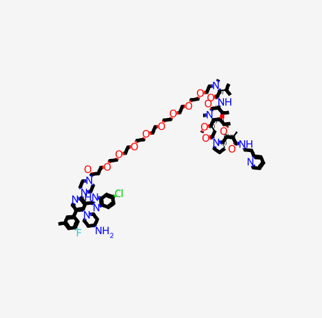 CC[C@H](C)[C@@H]([C@@H](CC(=O)N1CCC[C@H]1[C@H](OC)[C@@H](C)C(=O)NCCc1ccccn1)OC)N(C)C(=O)[C@@H](NC(=O)[C@H](C(C)C)N(C)CCOCCOCCOCCOCCOCCOCCOCCOCCC(=O)N1CCN(c2ncc(-c3cc(C)cc(F)c3)c(N3CCC(N)CC3)c2-c2nc3ccc(Cl)cc3[nH]2)CC1)C(C)C